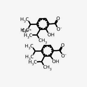 CC(C)c1ccc(C(=O)[O-])c(O)c1C(C)C.CC(C)c1ccc(C(=O)[O-])c(O)c1C(C)C.[Cu+2]